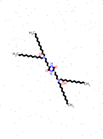 CCCCCCCCCCCCN(CCCC[C@@H]1NC(=O)[C@@H](CCCCN(CCCCCCCCCCCC)C[C@H](O)CCCCCCCCCC)NC1=O)C[C@H](O)CCCCCCCCCC